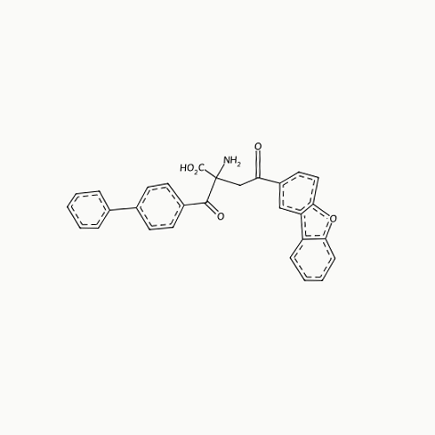 NC(CC(=O)c1ccc2oc3ccccc3c2c1)(C(=O)O)C(=O)c1ccc(-c2ccccc2)cc1